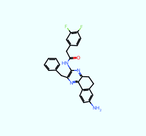 Nc1ccc2c(c1)CCc1nc(NC(=O)Cc3ccc(F)c(F)c3)c(Cc3ccccc3)nc1-2